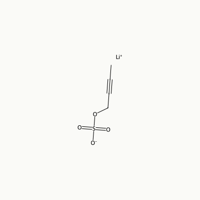 CC#CCOS(=O)(=O)[O-].[Li+]